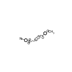 COc1ccc(C(=O)CN2CC3CN(CCCS(=O)(=O)c4ccc(C#N)cc4)CC3C2)cc1